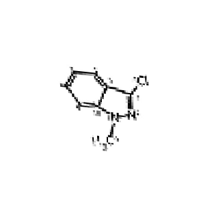 Cn1nc(Cl)c2ccccc21